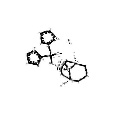 C[N+]1(C)[C@@H]2CCC[C@H]1C[C@H](CC(O)(c1cccs1)c1cccs1)C2.[Br-]